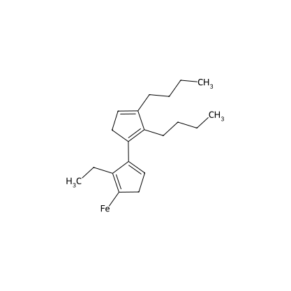 CCCCC1=CCC(C2=CC[C]([Fe])=C2CC)=C1CCCC